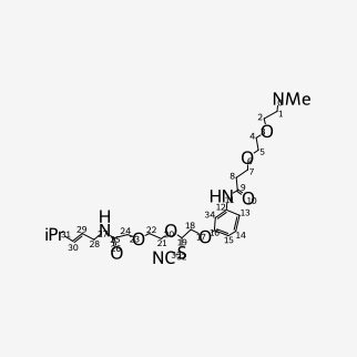 CNCCOCCOCCC(=O)Nc1cccc(OCC(OCCOCC(=O)NC/C=C/C(C)C)SC#N)c1